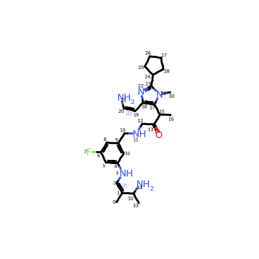 C/C(=C/Nc1cc(F)cc(CNCC(=O)C(C)c2c(/C=C\N)nc(C3CCCC3)n2C)c1)C(C)N